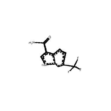 NC(=O)c1c[nH]c2cc(C(F)(F)F)ccc12